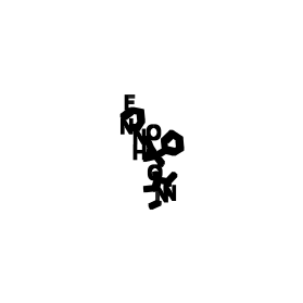 CCn1nc(C)c(OCC2(c3ccccc3)CC2C(=O)Nc2ccc(F)cn2)c1C